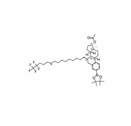 CC(=O)O[C@H]1CC[C@H]2[C@@H]3[C@H](CCCCCCCCCSCCCC(F)(F)C(F)(F)F)Cc4cc(B5OC(C)(C)C(C)(C)O5)ccc4[C@H]3CC[C@]12C